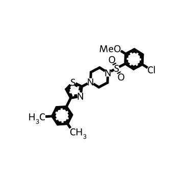 COc1ccc(Cl)cc1S(=O)(=O)N1CCN(c2nc(-c3cc(C)cc(C)c3)cs2)CC1